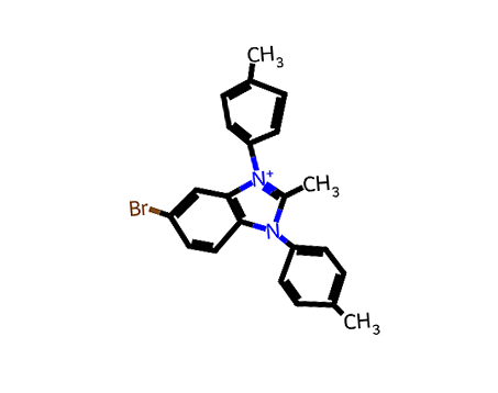 Cc1ccc(-n2c(C)[n+](-c3ccc(C)cc3)c3cc(Br)ccc32)cc1